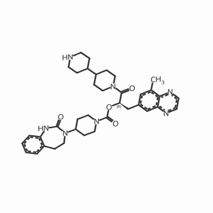 Cc1cc(C[C@@H](OC(=O)N2CCC(N3CCc4ccccc4NC3=O)CC2)C(=O)N2CCC(C3CCNCC3)CC2)cc2nccnc12